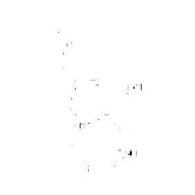 CCOC(=O)CN1CCCNCC1.Cl.Cl